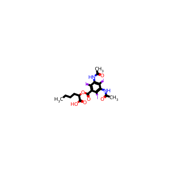 CCCCC(OC(=O)c1c(I)c(NC(C)=O)c(I)c(NC(C)=O)c1I)C(=O)O